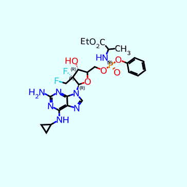 CCOC(=O)C(C)N[P@@](=O)(OCC1O[C@@H](n2cnc3c(NC4CC4)nc(N)nc32)[C@@](F)(CF)[C@@H]1O)Oc1ccccc1